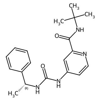 C[C@@H](NC(=O)Nc1ccnc(C(=O)NC(C)(C)C)c1)c1ccccc1